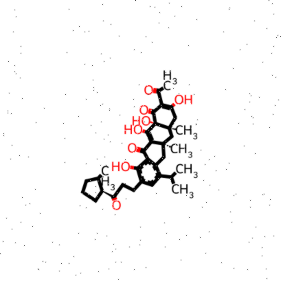 CC(=O)C1=C(O)C[C@@]2(C)C[C@@]3(C)Cc4c(C(C)C)cc(CCC(=O)[C@H]5CCCC5C)c(O)c4C(=O)C3=C(O)[C@@]2(O)C1=O